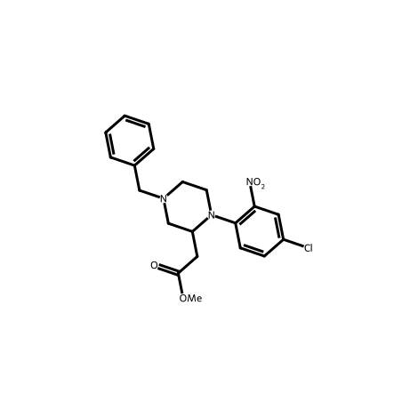 COC(=O)CC1CN(Cc2ccccc2)CCN1c1ccc(Cl)cc1[N+](=O)[O-]